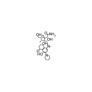 CN(C)c1cc(N2CCCCC2)c(O)c2c1C[C@@H](C[C@@H](CCO)[C@](O)(CO)C(=O)CC(N)=O)CC2=O